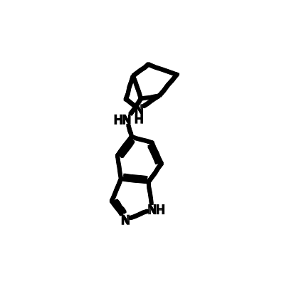 c1cc2[nH]ncc2cc1NC1C2CCC1NC2